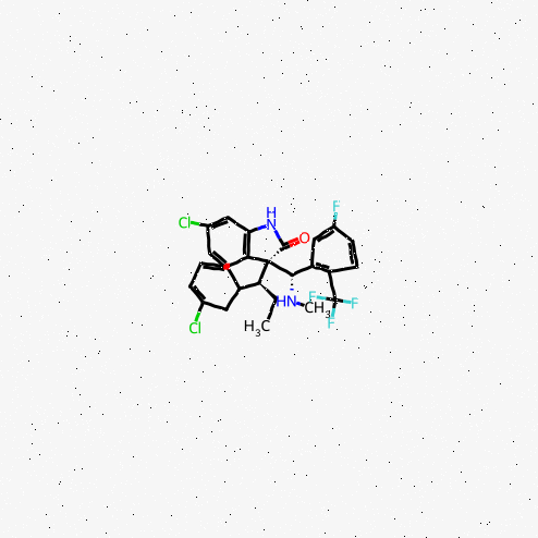 CC[C@@H](C1C=CC=C(Cl)C1)[C@@]1([C@@H](NC)c2cc(F)ccc2C(F)(F)F)C(=O)Nc2cc(Cl)ccc21